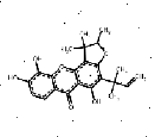 C=CC(C)(C)c1c2c(c3oc4c(O)c(O)ccc4c(=O)c3c1O)C(C)(C)C(C)O2